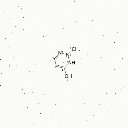 OC1=CC=NN(Cl)N1